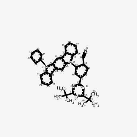 CC(C)(C)c1nc(-c2ccc(C#N)c(-n3c4ccccc4c4cc5c(cc43)c3ccccc3n5-c3ccccc3)c2)nc(C(C)(C)C)n1